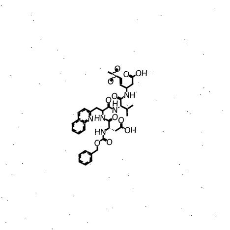 CC(C)[C@H](NC(=O)C(Cc1ccc2ccccc2n1)NC(=O)[C@H](CC(=O)O)NC(=O)OCc1ccccc1)C(=O)NC(/C=C/S(C)(=O)=O)CC(=O)O